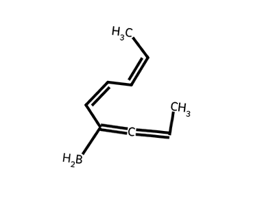 BC(=C=CC)/C=C\C=C/C